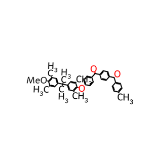 COc1c(C)cc(C(C)(C)c2cc(C)c(Oc3ccc(C(=O)c4ccc(C(=O)c5ccc(C)cc5)cc4)cc3)c(C)c2)cc1C